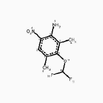 Cc1cc([N+](=O)[O-])c(N)c(C)c1OC(F)F